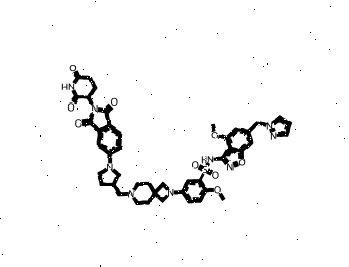 COc1ccc(N2CC3(CCN(CC4CCN(c5ccc6c(c5)C(=O)N(C5CCC(=O)NC5=O)C6=O)C4)CC3)C2)cc1S(=O)(=O)Nc1noc2cc(Cn3cccn3)cc(OC)c12